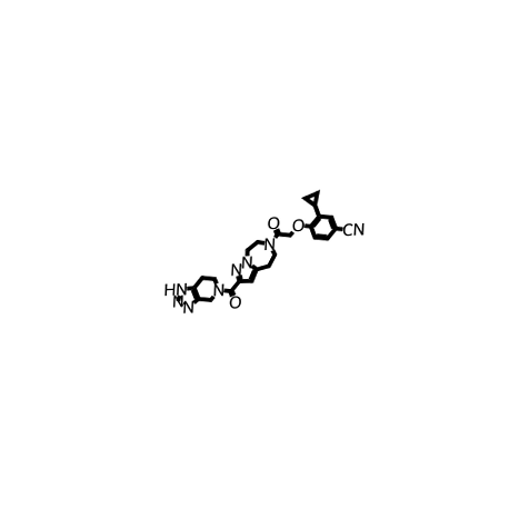 N#Cc1ccc(OCC(=O)N2CCc3cc(C(=O)N4CCc5[nH]nnc5C4)nn3CC2)c(C2CC2)c1